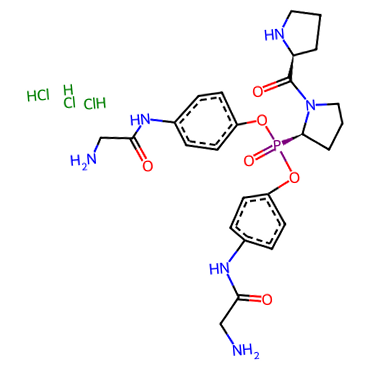 Cl.Cl.Cl.NCC(=O)Nc1ccc(OP(=O)(Oc2ccc(NC(=O)CN)cc2)[C@@H]2CCCN2C(=O)[C@@H]2CCCN2)cc1